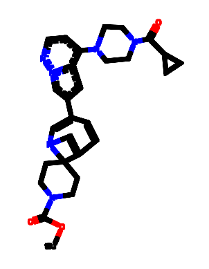 CC(C)(C)OC(=O)N1CCC2(CC1)C1=CN2C=C(c2cc3c(N4CCN(C(=O)C5CC5)CC4)ccnn3c2)C=C1